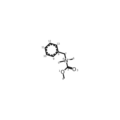 COC(=O)[N+](C)(C)Cc1ccccc1